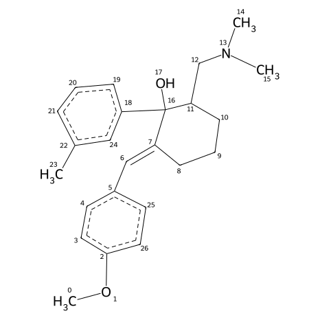 COc1ccc(/C=C2\CCCC(CN(C)C)C2(O)c2cccc(C)c2)cc1